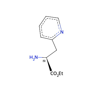 CCOC(=O)[C@@H](N)Cc1ccccn1